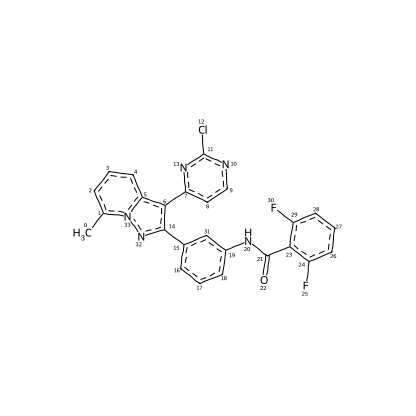 Cc1cccc2c(-c3ccnc(Cl)n3)c(-c3cccc(NC(=O)c4c(F)cccc4F)c3)nn12